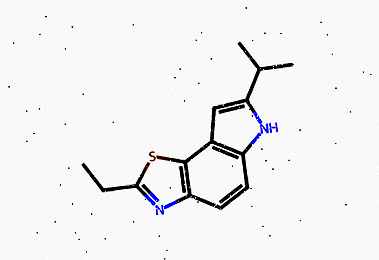 CCc1nc2ccc3[nH]c(C(C)C)cc3c2s1